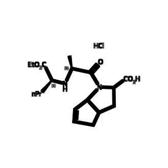 CCC[C@H](N[C@@H](C)C(=O)N1C(C(=O)O)CC2CC=CC21)C(=O)OCC.Cl